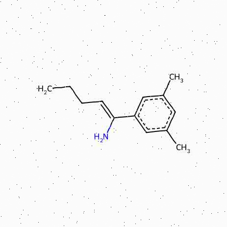 [CH2]CCC=C(N)c1cc(C)cc(C)c1